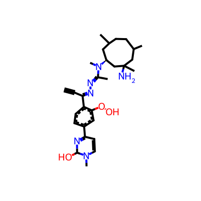 C#C/C(=N\N=C(/C)N(C)[C@H]1CC(C)CCC(C)CC(C)(N)C1)c1ccc(C2=NC(O)N(C)C=C2)cc1OO